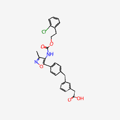 Cc1noc(-c2ccc(Cc3cccc(CC(=O)O)c3)cc2)c1NC(=O)OCCc1ccccc1Cl